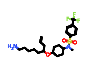 C=CCC(CCCCCN)OC1CCC(N(C)S(=O)(=O)c2ccc(C(F)(F)F)cc2)CC1